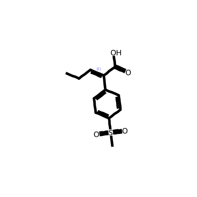 CC/C=C(/C(=O)O)c1ccc(S(C)(=O)=O)cc1